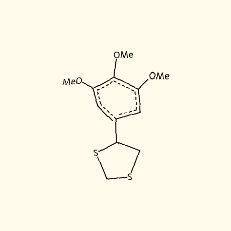 COc1cc(C2CSCS2)cc(OC)c1OC